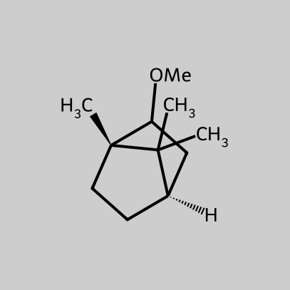 COC1C[C@H]2CC[C@@]1(C)C2(C)C